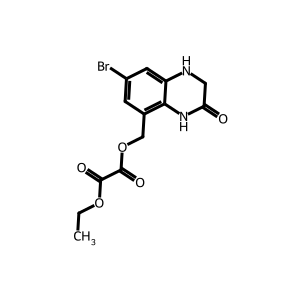 CCOC(=O)C(=O)OCc1cc(Br)cc2c1NC(=O)CN2